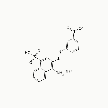 Nc1c(N=Nc2cccc([N+](=O)[O-])c2)cc(S(=O)(=O)O)c2ccccc12.[Na+]